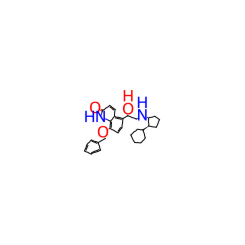 O=c1ccc2c([C@@H](O)CNC3CCC[C@H]3C3CCCCC3)ccc(OCc3ccccc3)c2[nH]1